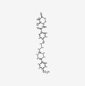 O=C1CCC(NC(=O)c2ccc(OCCCN3CCN(c4ccc(C(=O)O)cn4)CC3)cn2)C(=O)N1